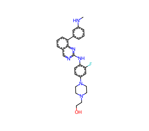 CNc1cccc(-c2cccc3cnc(Nc4ccc(N5CCN(CCO)CC5)cc4F)nc23)c1